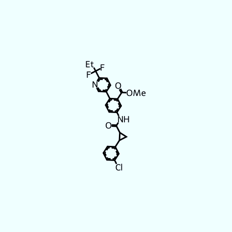 CCC(F)(F)c1ccc(-c2ccc(NC(=O)C3CC3c3cccc(Cl)c3)cc2C(=O)OC)cn1